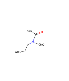 CCCCC(=O)N(C=O)CCOC